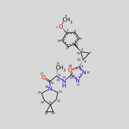 COc1ccc([C@H]2C[C@@H]2c2nnc(N[C@@H](C)C(=O)N3CCC4(CC3)CC4)o2)cc1